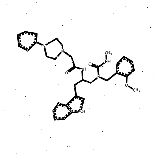 CNC(=O)N(Cc1ccccc1OC)CC(Cc1c[nH]c2ccccc12)NC(=O)CN1CCN(c2ccccc2)CC1